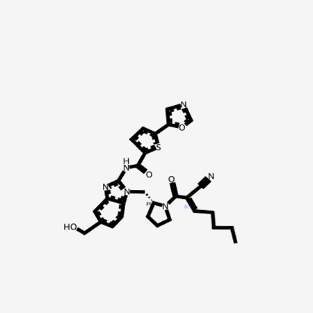 CCCC/C=C(\C#N)C(=O)N1CCC[C@@H]1Cn1c(NC(=O)c2ccc(-c3cnco3)s2)nc2cc(CO)ccc21